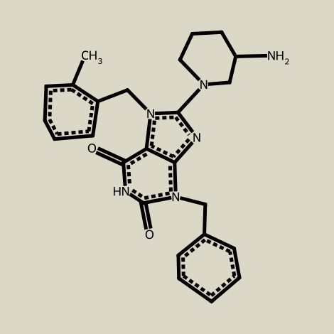 Cc1ccccc1Cn1c(N2CCCC(N)C2)nc2c1c(=O)[nH]c(=O)n2Cc1ccccc1